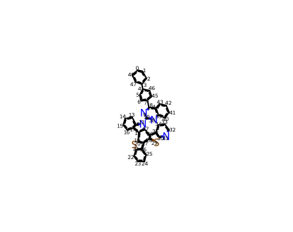 c1ccc(-c2ccc(-c3nc(-n4c5ccccc5c5c6sc7ccccc7c6c6sc7ncccc7c6c54)nc4ccccc34)cc2)cc1